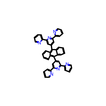 c1ccc(-c2cc(-c3c4ccccc4c(-c4cc(-c5ccccn5)nc(-c5ccccn5)c4)c4ccccc34)cc(-c3ccccn3)n2)nc1